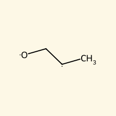 C[CH]C[O]